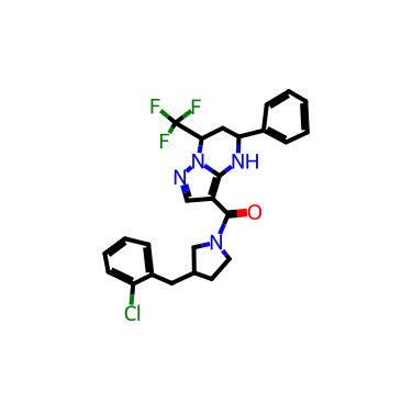 O=C(c1cnn2c1NC(c1ccccc1)CC2C(F)(F)F)N1CCC(Cc2ccccc2Cl)C1